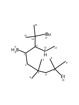 BC(CC(C)(C)CC(C)(C)CC)C(PC)C(C)(C)C(C)CC